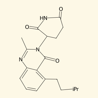 Cc1nc2cccc(CCC(C)C)c2c(=O)n1C1CCC(=O)NC1=O